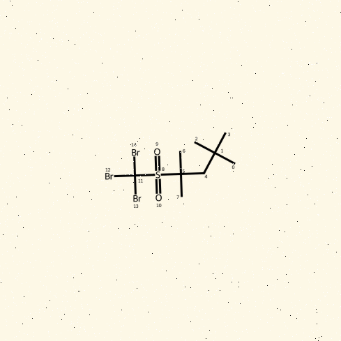 CC(C)(C)CC(C)(C)S(=O)(=O)C(Br)(Br)Br